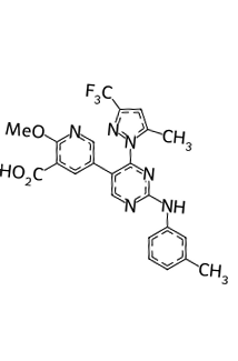 COc1ncc(-c2cnc(Nc3cccc(C)c3)nc2-n2nc(C(F)(F)F)cc2C)cc1C(=O)O